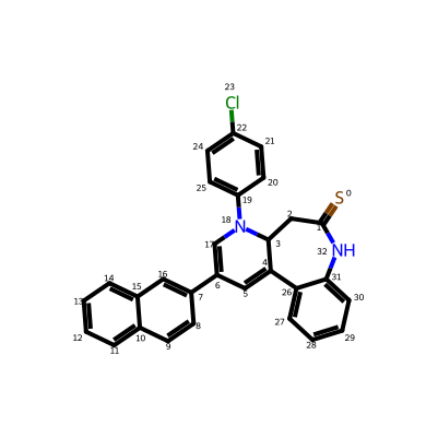 S=C1CC2C(=CC(c3ccc4ccccc4c3)=CN2c2ccc(Cl)cc2)c2ccccc2N1